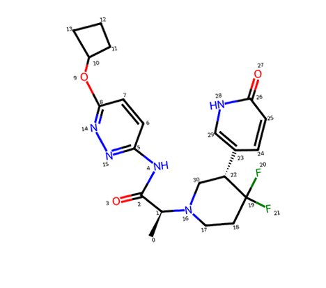 C[C@@H](C(=O)Nc1ccc(OC2CCC2)nn1)N1CCC(F)(F)[C@@H](c2ccc(=O)[nH]c2)C1